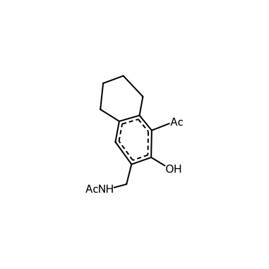 CC(=O)NCc1cc2c(c(C(C)=O)c1O)CCCC2